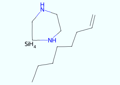 C1CNCCN1.C=CCCCCCC.[SiH4]